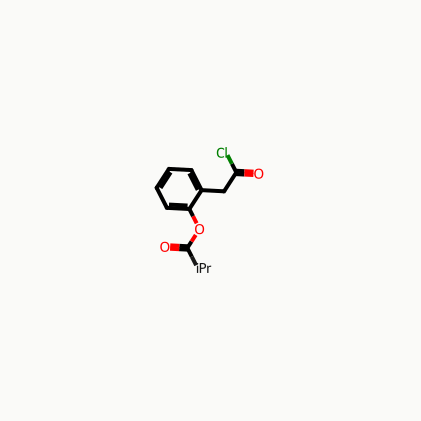 CC(C)C(=O)Oc1ccccc1CC(=O)Cl